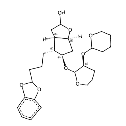 OC1C[C@@H]2[C@@H](CCCC3Oc4ccccc4O3)[C@H](OC3OCCC[C@@H]3OC3CCCCO3)C[C@@H]2O1